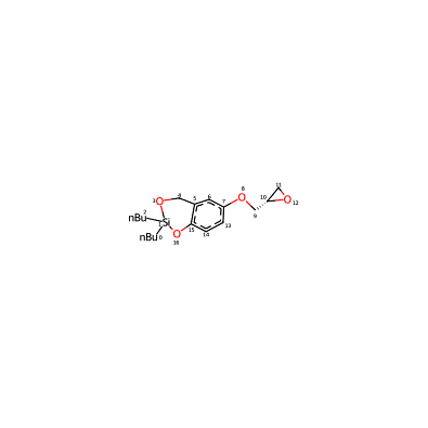 CCCC[Si]1(CCCC)OCc2cc(OC[C@@H]3CO3)ccc2O1